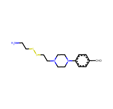 NCCSSCCN1CCN(c2ccc(C=O)cc2)CC1